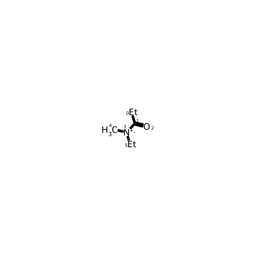 CCC(=O)[N+](C)CC